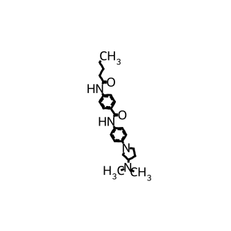 CCCCC(=O)Nc1ccc(C(=O)Nc2ccc(N3CCC(N(C)C)C3)cc2)cc1